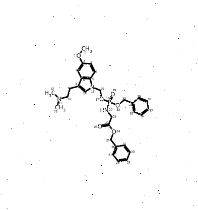 COc1ccc2c(c1)c(CCN(C)C)cn2COP(=O)(NCC(=O)OCc1ccccc1)OCc1ccccc1